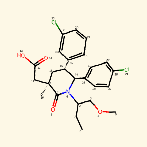 CCC(COC)N1C(=O)[C@@](C)(CC(=O)O)C[C@H](c2cccc(Cl)c2)[C@H]1c1ccc(Cl)cc1